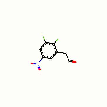 O=CCc1cc([N+](=O)[O-])cc(F)c1F